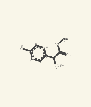 CCOC(=O)C(C(=O)OC(C)(C)C)c1cnc(Cl)cn1